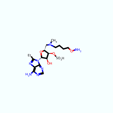 CCc1nc2c(N)ncnc2n1[C@@H]1O[C@H](CN(C)CCCCON)[C@@H](OS(=O)(=O)O)[C@H]1O